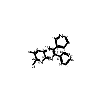 Cc1cc2nc(-c3cccnc3)c(-c3cccnc3)nc2nc1C